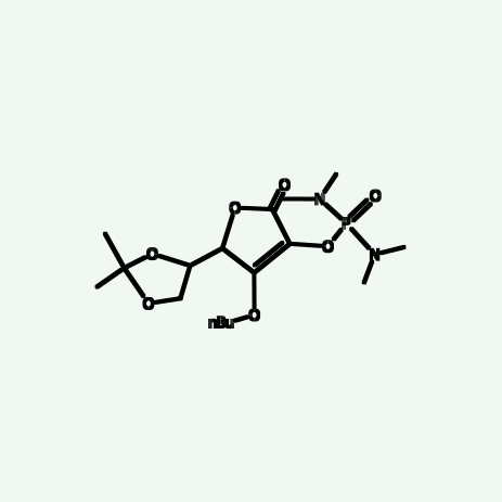 CCCCOC1=C(OP(=O)(N(C)C)N(C)C)C(=O)OC1C1COC(C)(C)O1